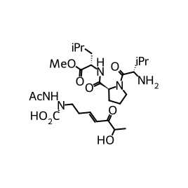 CC(=O)NN(CCC=CC(=O)C(C)O)C(=O)O.COC(=O)[C@H](CC(C)C)NC(=O)[C@@H]1CCCN1C(=O)[C@@H](N)C(C)C